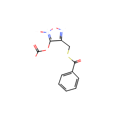 O=C(O)Oc1c(CSC(=O)c2ccccc2)no[n+]1[O-]